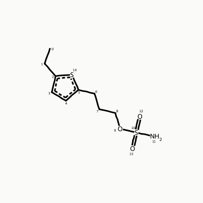 CCc1ccc(CCCOS(N)(=O)=O)s1